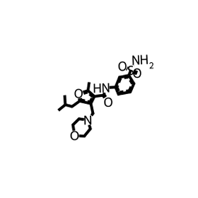 Cc1oc(CC(C)C)c(CN2CCOCC2)c1C(=O)Nc1cccc(S(N)(=O)=O)c1